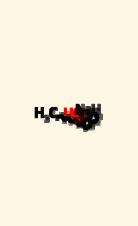 CCCCCCCCc1ccc2ccccc2c1S(=O)(=O)O.[NaH]